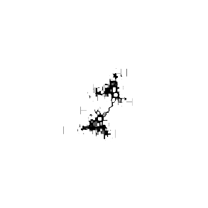 COc1cc2c(cc1OCCCCCOc1cc3c(cc1OC)C(=O)N1C[C@H](OC(C)=O)C[C@H]1[C@H](O)N3C(=O)OCC(Cl)(Cl)Cl)N(C(=O)OCC(Cl)(Cl)Cl)[C@@H](O)[C@@H]1C[C@@H](OC(C)=O)CN1C2=O